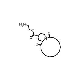 NCCOC(=O)N1CCN2C(=O)CCCCCCCCCCCC(=O)C2C1